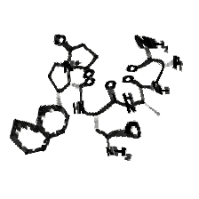 CC(C)[C@H](NC(=O)[C@H](C)NC(=O)[C@H](CC(N)=O)NC(=O)[C@@H]1[C@H](c2ccc3ccccc3c2)CC[N+]12C(=O)CCC2=O)C(N)=O